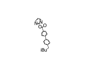 CCC(C)Cc1ccc(-c2ccc(C(=O)Oc3ncccn3)cc2)cc1